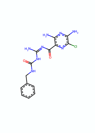 N/C(=N/C(=O)c1nc(Cl)c(N)nc1N)NC(=O)NCc1ccccc1